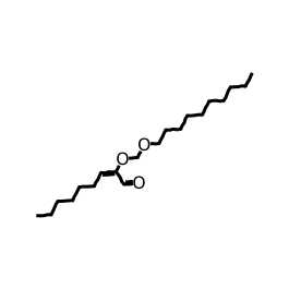 CCCCCC/C=C(\C=O)OCOCCCCCCCCCC